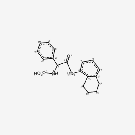 O=C(O)NC(C(=O)Nc1cccc2c1CCCC2)c1ccccc1